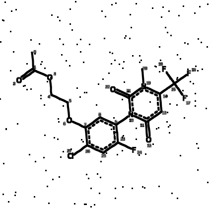 CC(=O)OCCOc1cc(-n2c(=O)cc(C(F)(F)F)n(C)c2=O)c(F)cc1Cl